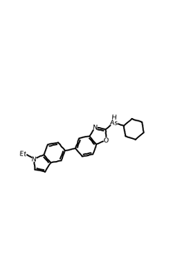 CCn1ccc2cc(-c3ccc4oc([AsH]C5CCCCC5)nc4c3)ccc21